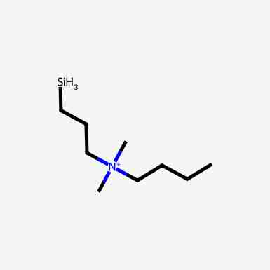 CCCC[N+](C)(C)CCC[SiH3]